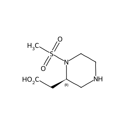 CS(=O)(=O)N1CCNC[C@H]1CC(=O)O